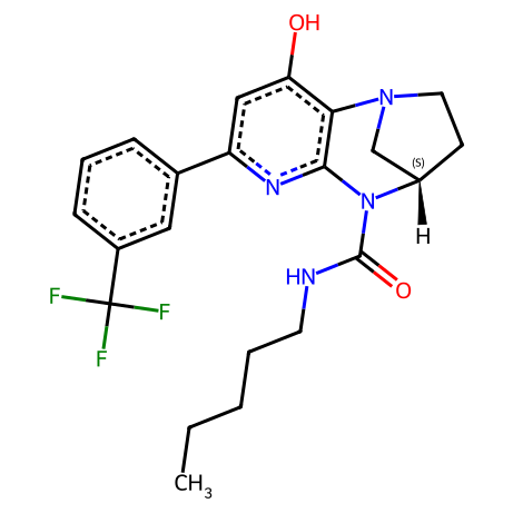 CCCCCNC(=O)N1c2nc(-c3cccc(C(F)(F)F)c3)cc(O)c2N2CC[C@H]1C2